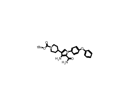 CC(C)(C)OC(=O)N1CCC(c2cn(-c3ccc(Oc4ccccc4)cc3)c(C(N)=O)c2N)CC1